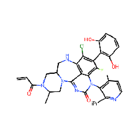 C=CC(=O)N1CC2CNc3c(Cl)c(-c4c(O)cccc4O)c(F)c4c3c(nc(=O)n4-c3c(C)ccnc3C(C)C)N2CC1C